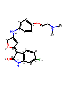 CCN(CC)CCOc1ccc(NC2=CC(=C3C(=O)Nc4cc(F)ccc43)OC2)cc1